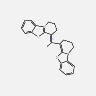 C/C(C1=C2Sc3ccccc3N2CCC1)=C1/CCC[n+]2c1sc1ccccc12